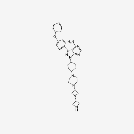 Nc1ncnc2c1c(-c1ccc(Oc3ccccc3)cc1)nn2C1CCC(N2CCN(C3CN(C4CNC4)C3)CC2)CC1